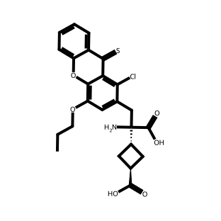 CCCOc1cc(CC(N)(C(=O)O)[C@H]2C[C@H](C(=O)O)C2)c(Cl)c2c(=S)c3ccccc3oc12